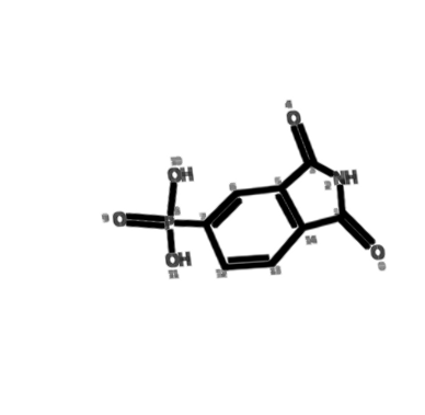 O=C1NC(=O)c2cc(P(=O)(O)O)ccc21